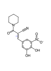 N#C/C(=C\c1cc(O)c(O)c([N+](=O)[O-])c1)C(=O)N1CCCCC1